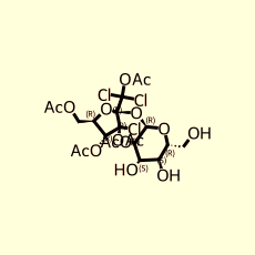 CC(=O)OC[C@H]1O[C@](O[C@H]2O[C@H](CO)[C@@H](O)[C@H](O)[C@H]2OC(C)=O)(C(Cl)(Cl)OC(C)=O)[C@@](Cl)(OC(C)=O)[C@@H]1OC(C)=O